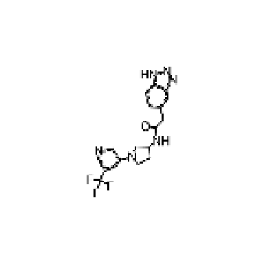 O=C(Cc1ccc2[nH]nnc2c1)NC1CCN(c2cncc(C(F)(F)F)c2)C1